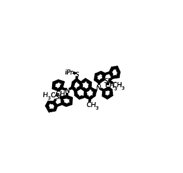 Cc1cc(N(c2ccccc2)c2cccc3c2[Si](C)(C)c2ccccc2-3)c2ccc3c(SC(C)C)cc(N(c4ccccc4)c4cccc5c4[Si](C)(C)c4ccccc4-5)c4ccc1c2c34